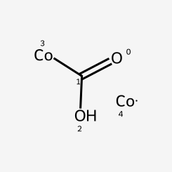 O=[C](O)[Co].[Co]